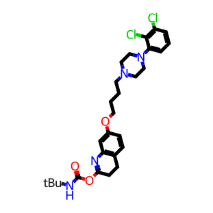 CC(C)(C)NC(=O)OC1=Nc2cc(OCCCCN3CCN(c4cccc(Cl)c4Cl)CC3)ccc2CC1